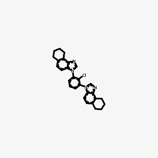 Clc1c(-n2cnc3c4c(ccc32)CCCC4)cccc1-n1cnc2c3c(ccc21)CCCC3